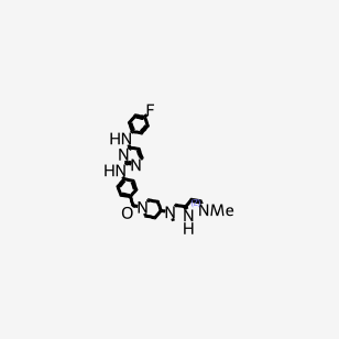 CN/C=C\C(=N)CN(C)C1CCN(C(=O)c2ccc(Nc3nccc(Nc4ccc(F)cc4)n3)cc2)CC1